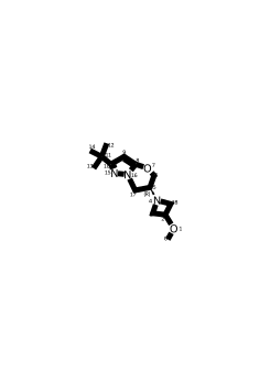 COC1CN([C@H]2COc3cc(C(C)(C)C)nn3C2)C1